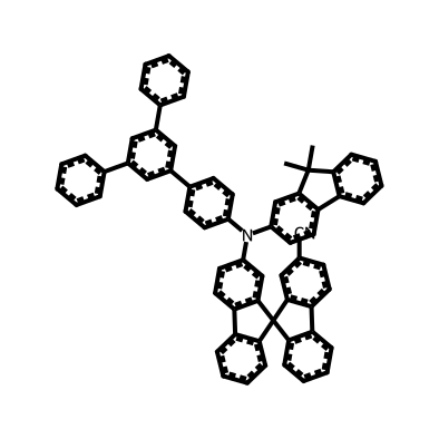 CC1(C)c2ccccc2-c2ccc(N(c3ccc(-c4cc(-c5ccccc5)cc(-c5ccccc5)c4)cc3)c3ccc4c(c3)C3(c5ccccc5-c5ccc(C#N)cc53)c3ccccc3-4)cc21